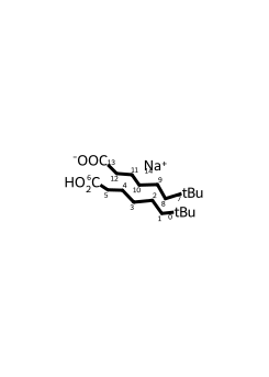 CC(C)(C)CCCCCC(=O)O.CC(C)(C)CCCCCC(=O)[O-].[Na+]